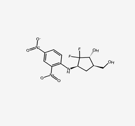 O=[N+]([O-])c1ccc(N[C@@H]2C[C@H](CO)[C@@H](O)C2(F)F)c([N+](=O)[O-])c1